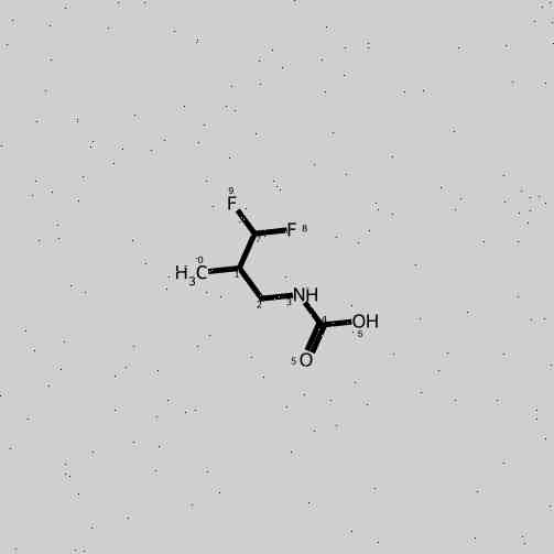 CC(CNC(=O)O)C(F)F